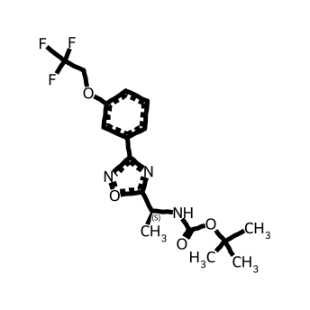 C[C@H](NC(=O)OC(C)(C)C)c1nc(-c2cccc(OCC(F)(F)F)c2)no1